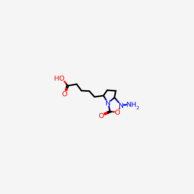 NN1OC(=O)N2C(CCCCC(=O)O)CCC12